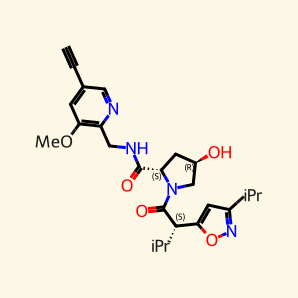 C#Cc1cnc(CNC(=O)[C@@H]2C[C@@H](O)CN2C(=O)[C@H](c2cc(C(C)C)no2)C(C)C)c(OC)c1